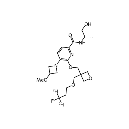 [2H]C([2H])(F)CCOCC1(COc2nc(C(=O)N[C@@H](C)CO)ccc2N2CC(OC)C2)COC1